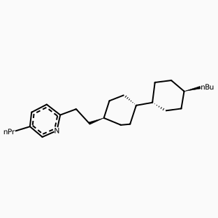 CCCC[C@H]1CC[C@H]([C@H]2CC[C@H](CCc3ccc(CCC)cn3)CC2)CC1